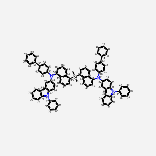 C[Si](C)(c1cccc2c(N(c3ccc(-c4ccccc4)cc3)c3ccc4c(c3)c3ccccc3n4-c3ccccc3)cccc12)c1cccc2c(N(c3ccc(-c4ccccc4)cc3)c3ccc4c(c3)c3ccccc3n4-c3ccccc3)cccc12